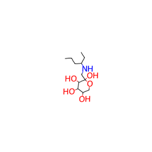 CCCC(CC)NCC1(O)OCC(O)C(O)C1O